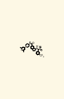 Cc1cc(N2CCC(N(C)C(=O)c3ccc4c(c3)C(NC(c3cccc(C(F)(F)F)c3)[SH](=O)=O)CC4)CC2)cc(C)n1